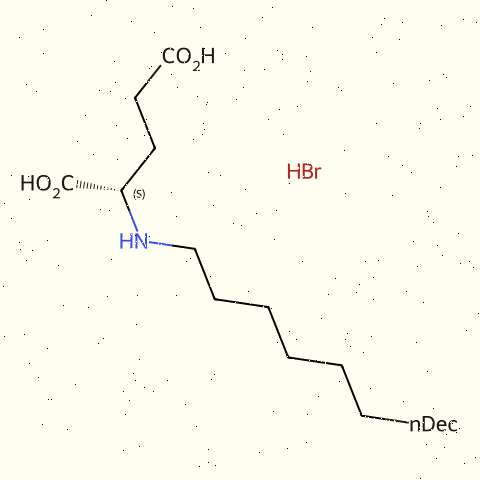 Br.CCCCCCCCCCCCCCCCN[C@@H](CCC(=O)O)C(=O)O